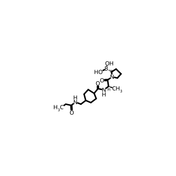 CCC(=O)NCC1CCC(C(=O)N[C@H](C)C(=O)N2CCC[C@H]2B(O)O)CC1